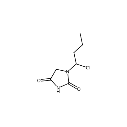 CCCC(Cl)N1CC(=O)NC1=O